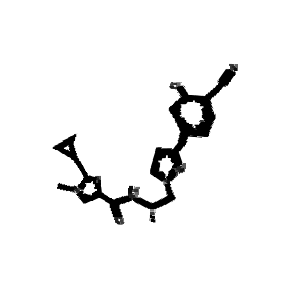 C[C@@H](Cn1ccc(-c2ccc(C#N)c(Cl)c2)n1)NC(=O)c1cn(C)c(C2CC2)n1